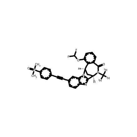 [2H]C([2H])([2H])N1C(=O)c2cccc(OC(F)F)c2[C@H]2C[C@@H]1c1nc3ccc(C#Cc4ccc(P(C)(C)=O)cc4)cc3n12